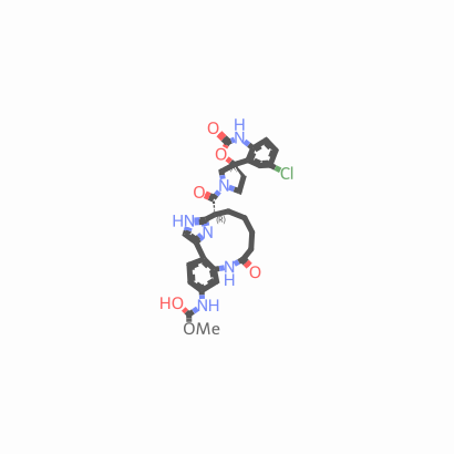 COC(O)Nc1ccc2c(c1)NC(=O)CCCC[C@@H](C(=O)N1CC[C@@]3(C1)OC(=O)Nc1ccc(Cl)cc13)c1nc-2c[nH]1